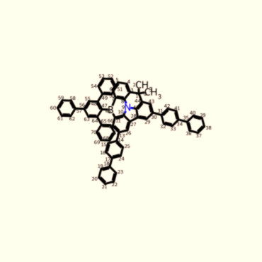 CC1(C)c2cccc3c2-n2c4c(cc(-c5ccc(-c6ccccc6)cc5)cc4c4cc(-c5ccc(-c6ccccc6)cc5)cc1c42)B3c1c(-c2ccccc2)cc(-c2ccccc2)cc1-c1ccccc1